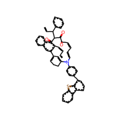 C=C/C=C\c1cc2ccccc2cc1C1=CCCC(N(/C=C/C=C\C(=O)C(=O)C(C=O)C(C=C)c2ccccc2)c2ccc(-c3cccc4c3sc3ccccc34)cc2)=C1